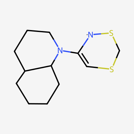 C1=C(N2CCCC3CCCCC32)[N]SCS1